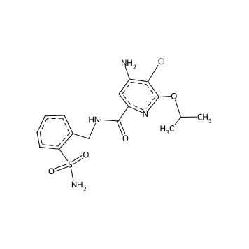 CC(C)Oc1nc(C(=O)NCc2ccccc2S(N)(=O)=O)cc(N)c1Cl